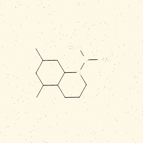 CO[SiH](OC)N1CCCC2C(C)CC(C)CC21